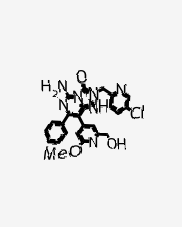 COc1cc(-c2c(-c3ccccc3)nc(N)[n+]3c(=O)n(Cc4ccc(Cl)cn4)[nH]c23)cc(CO)n1